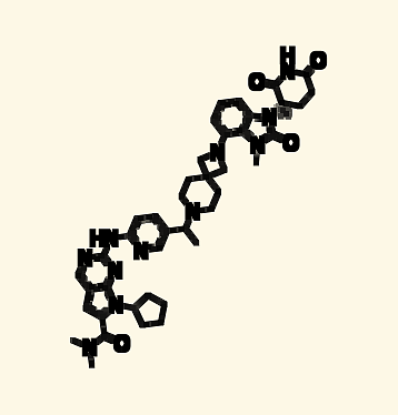 CC(c1ccc(Nc2ncc3cc(C(=O)N(C)C)n(C4CCCC4)c3n2)nc1)N1CCC2(CC1)CN(c1cccc3c1n(C)c(=O)n3[C@H]1CCC(=O)NC1=O)C2